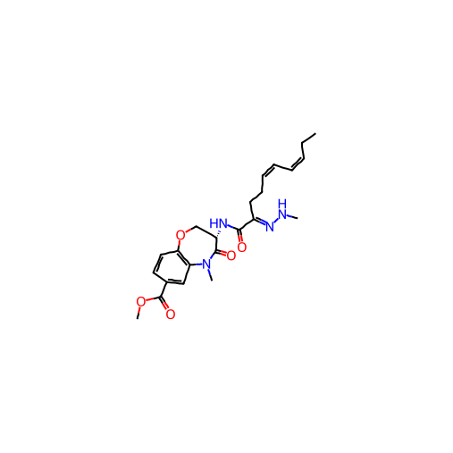 CC/C=C\C=C/CC/C(=N\NC)C(=O)N[C@H]1COc2ccc(C(=O)OC)cc2N(C)C1=O